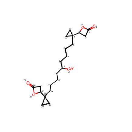 O=C1CC(C2(CCCCC(O)CCCCC3(C4CC(=O)O4)CC3)CC2)O1